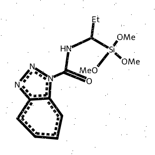 CCC(NC(=O)n1nnc2ccccc21)[Si](OC)(OC)OC